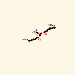 CCCCCCCC/C=C\CCCCCCCC(=O)OCC(COC(=O)CCCCCCC/C=C\CCCCCCCC)OC(=O)CCN(CC)CC